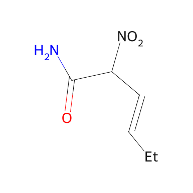 CCC=CC(C(N)=O)[N+](=O)[O-]